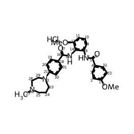 COc1ccc(C(=O)Nc2cccc(OC)c2NC(=O)c2ccc(N3CCCN(C)CC3)cc2)cc1.Cl